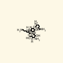 NCCCC[C@H](O)C(=O)NC1C(O)[C@H](N)C(O[C@H]2OC(CN)CCC2N)C(O)[C@H]1O[C@H]1OC(CO)[C@@H](O)C(N)C1O